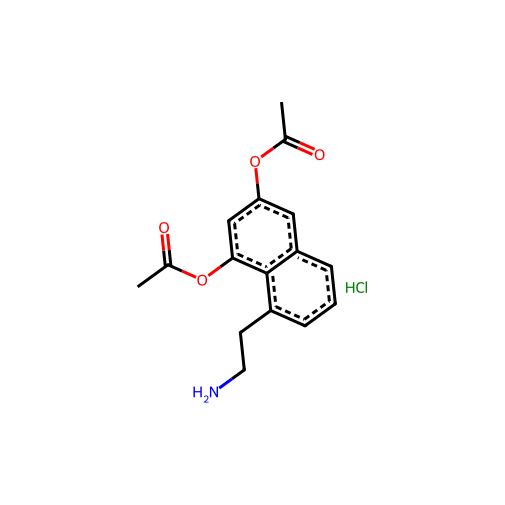 CC(=O)Oc1cc(OC(C)=O)c2c(CCN)cccc2c1.Cl